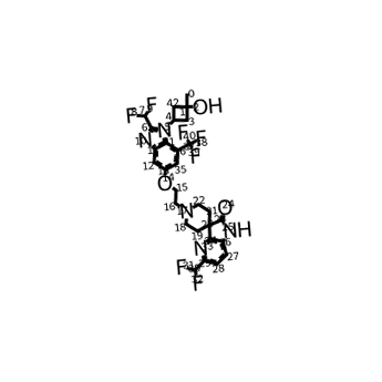 CC1(O)CC(n2c(C(F)F)nc3cc(OCCN4CCC5(CC4)C(=O)Nc4ccc(C(F)F)nc45)cc(C(F)(F)F)c32)C1